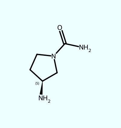 NC(=O)N1CC[C@H](N)C1